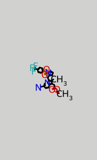 CCOC(=O)Cc1c(C)c(Cc2cccn2S(=O)(=O)c2ccc(C(F)(F)F)cc2)n2cc(C#N)ccc12